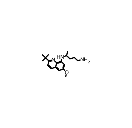 COc1cc(NC(C)CCCN)c2nc(C(C)(C)C)ccc2c1